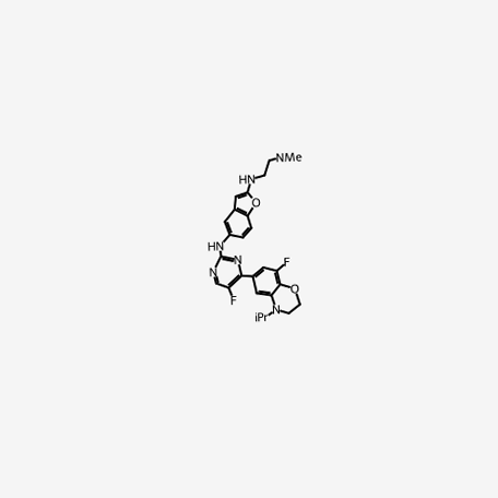 CNCCNc1cc2cc(Nc3ncc(F)c(-c4cc(F)c5c(c4)N(C(C)C)CCO5)n3)ccc2o1